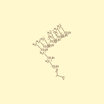 CCOC(C)=O.CCOC(C)=O.CCOC(C)=O.CCOC(C)=O.CCOC(C)=O.CCOC(C)=O.CCOC(C)=O.CCOC(C)=O.CCOC(C)=O.CCOC(C)=O.ClCCl